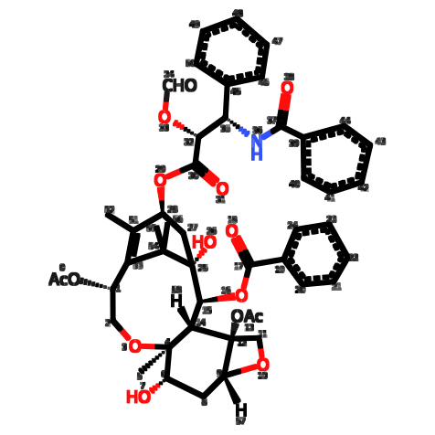 CC(=O)O[C@H]1CO[C@]2(C)[C@@H](O)C[C@H]3OC[C@@]3(OC(C)=O)[C@H]2[C@H](OC(=O)c2ccccc2)[C@]2(O)C[C@H](OC(=O)[C@H](OC=O)[C@@H](NC(=O)c3ccccc3)c3ccccc3)C(C)=C1C2(C)C